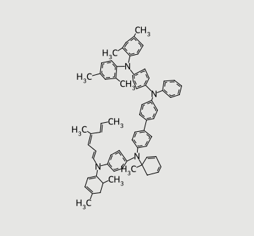 C/C=C/C(C)=C\C=C\N(C1=CC=C(C)CC1C)c1ccc(N(c2ccc(-c3ccc(N(c4ccccc4)c4ccc(N(c5ccc(C)cc5C)c5ccc(C)cc5C)cc4)cc3)cc2)C2(C)C=CC=CC2)cc1